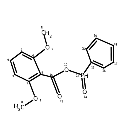 COc1cccc(OC)c1C(=O)O[PH](=O)c1ccccc1